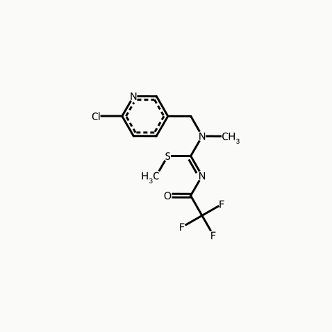 CS/C(=N\C(=O)C(F)(F)F)N(C)Cc1ccc(Cl)nc1